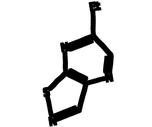 CCc1cnc2cnsc2n1